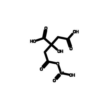 O=C(O)CC(O)(CC(=O)O[N+](=O)O)C(=O)O